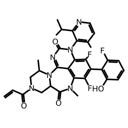 C=CC(=O)N1CC(C)N2c3nc(=O)n(-c4c(C)ccnc4C(C)C)c4c(F)c(-c5c(O)cccc5F)c(F)c(c34)N(C)C(=O)C2C1